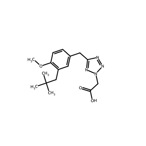 COc1ccc(Cc2nnn(CC(=O)O)n2)cc1CC(C)(C)C